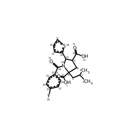 CC(C)CC1(C(=O)O)CC(C(=O)O)C(c2cccs2)N1C(=O)c1ccc(F)cc1